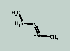 C/[SiH]=N/[SiH2]C